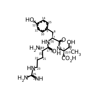 C[C@@H](O)[C@H](NC(=O)[C@H](Cc1ccc(O)cc1)NC(=O)[C@@H](N)CCCNC(=N)N)C(=O)O